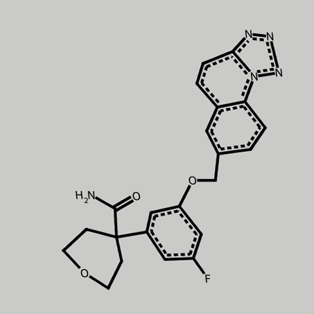 NC(=O)C1(c2cc(F)cc(OCc3ccc4c(ccc5nnnn54)c3)c2)CCOCC1